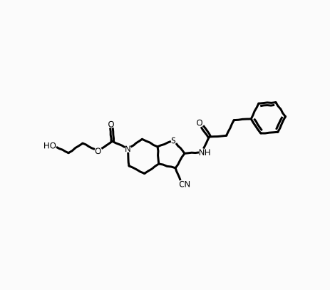 N#CC1C(NC(=O)CCc2ccccc2)SC2CN(C(=O)OCCO)CCC21